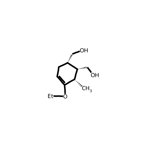 CCOC1=CC[C@H](CO)[C@H](CO)[C@@H]1C